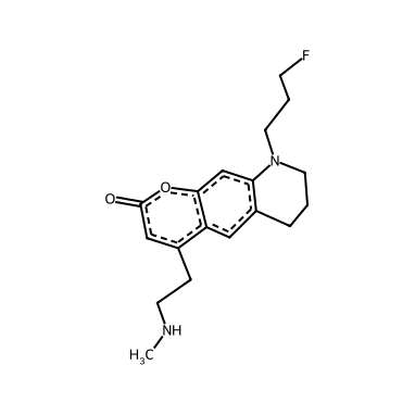 CNCCc1cc(=O)oc2cc3c(cc12)CCCN3CCCF